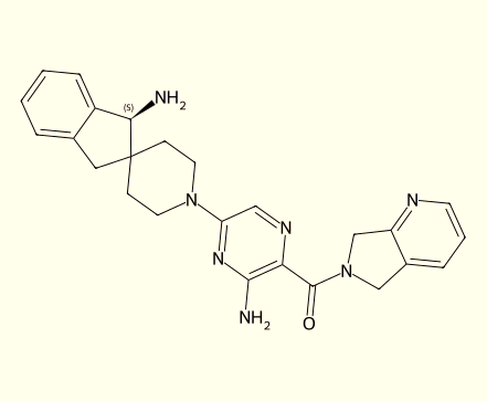 Nc1nc(N2CCC3(CC2)Cc2ccccc2[C@H]3N)cnc1C(=O)N1Cc2cccnc2C1